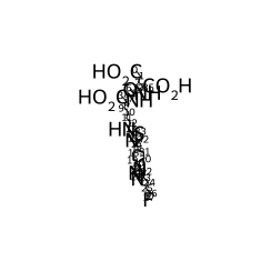 O=C(O)CC[C@H](NC(=O)NC(CCCCNc1nc(-c2ccc(-n3cc(CCCF)nn3)cc2)cs1)C(=O)O)C(=O)O